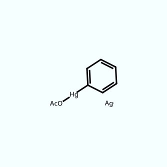 CC(=O)[O][Hg][c]1ccccc1.[Ag]